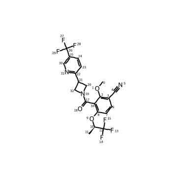 COc1c(C#N)ccc(O[C@H](C)C(F)(F)F)c1C(=O)N1CC(c2ccc(C(F)(F)F)cn2)C1